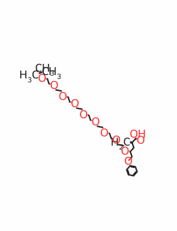 C=C(CC(COc1ccccc1)OCCOCCOCCOCCOCCOCCOCCOCCOC(C)(C)C)C(=O)O